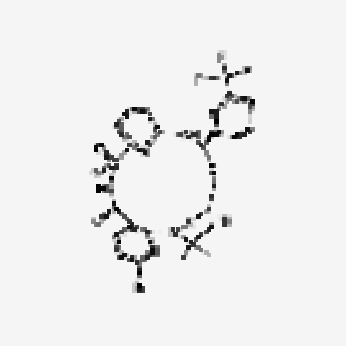 CC1(C)C[C@@H]2CC[C@H](c3cccc(C(F)(F)F)n3)Nc3cccc(n3)S(=O)(=O)NC(=O)c3ccc(Br)nc3N1C2